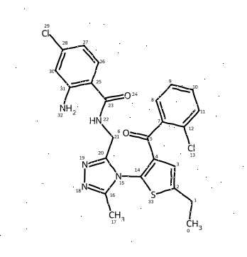 CCc1cc(C(=O)c2ccccc2Cl)c(-n2c(C)nnc2CNC(=O)c2ccc(Cl)cc2N)s1